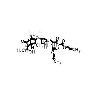 C=CCOC(=O)NC(=O)C(C[C@@H]1C[C@H](SC2=C(C(=O)O)N3C(=O)[C@H]([C@@H](C)O)[C@H]3[C@H]2C)CN1)NC(=O)OCC=C